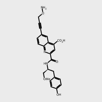 COC[C@H](Cc1ccc(O)cc1)NC(=O)c1cc(C(=O)O)c2cc(C#CCON)ccc2n1